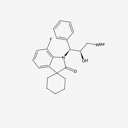 CNC[C@@H](O)[C@H](c1ccccc1)N1C(=O)C2(CCCCC2)c2cccc(F)c21